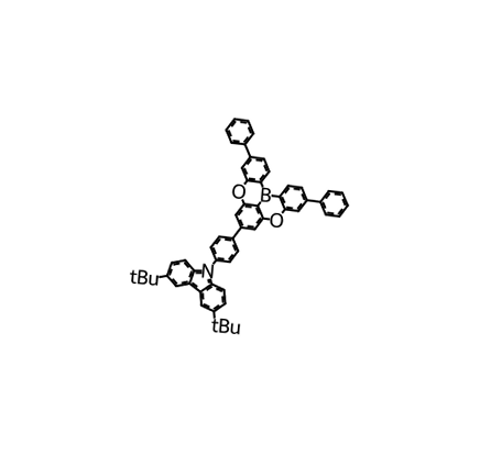 CC(C)(C)c1ccc2c(c1)c1cc(C(C)(C)C)ccc1n2-c1ccc(-c2cc3c4c(c2)Oc2cc(-c5ccccc5)ccc2B4c2ccc(-c4ccccc4)cc2O3)cc1